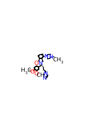 CCN1CCN(c2cccc3c2CN([C@H](CCCn2ccnc2)c2ccc(OC)c(OC)c2)C3=O)CC1